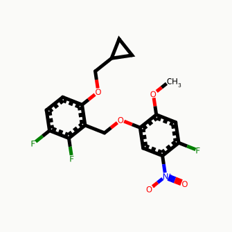 COc1cc(F)c([N+](=O)[O-])cc1OCc1c(OCC2CC2)ccc(F)c1F